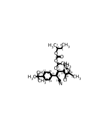 CCC(C)OC(=O)OC(C)O/C(=C(/C#N)c1ccc(C(C)(C)C)cc1)c1c(Cl)c(C)nn1C